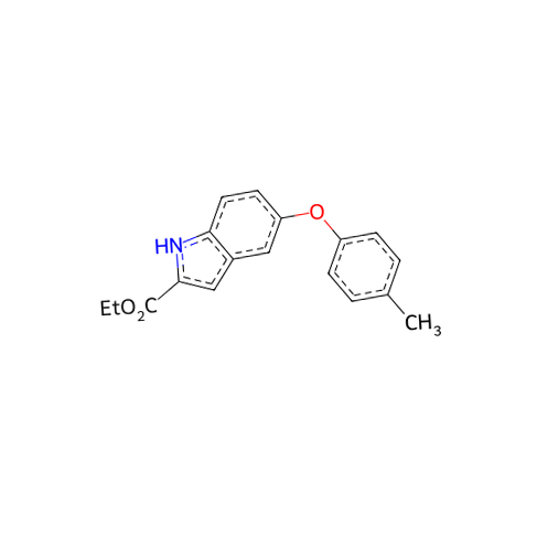 CCOC(=O)c1cc2cc(Oc3ccc(C)cc3)ccc2[nH]1